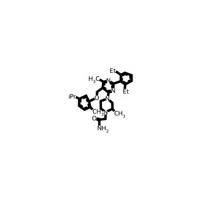 CCc1cccc(CC)c1-c1nc(C)c(COc2cc(C(C)C)ccc2C)c(N2CCN(CC(N)=O)C(C)C2)n1